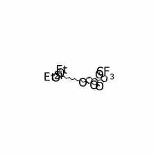 CCO[Si](C)(CCCCCCCCOc1ccc2cc(-c3ccccc3OC(F)(F)F)c(=O)oc2c1)OCC